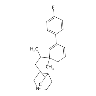 CC(CC1CN2CCC1CC2)C1(C)C=C(c2ccc(F)cc2)C=CC1